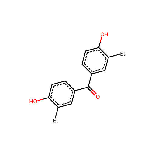 CCc1cc(C(=O)c2ccc(O)c(CC)c2)ccc1O